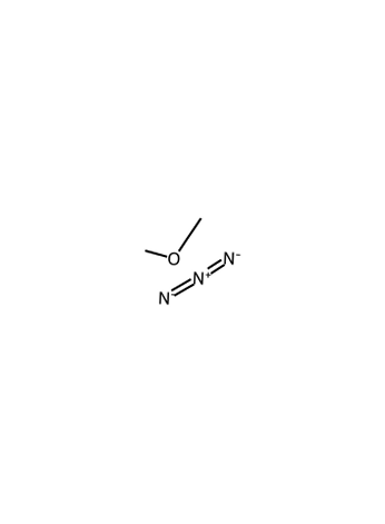 COC.[N-]=[N+]=[N-]